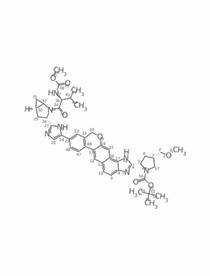 COC[C@H]1C[C@@H](c2nc3ccc4cc5c(cc4c3[nH]2)OCc2cc(-c3cnc([C@@H]4C[C@H]6CC6N4C(=O)[C@@H](NC(=O)OC)C(C)C)[nH]3)ccc2-5)N(C(=O)OC(C)(C)C)C1